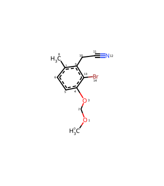 COCOc1ccc(C)c(CC#N)c1Br